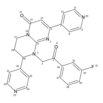 O=C(CN1c2nc(-c3ccncc3)cc(=O)n2CCC1c1ccncc1)c1cccc(F)c1